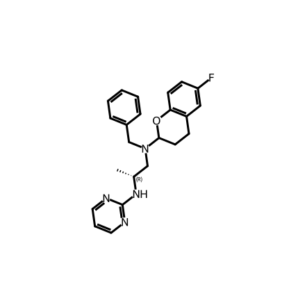 C[C@H](CN(Cc1ccccc1)C1CCc2cc(F)ccc2O1)Nc1ncccn1